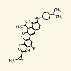 CC1CC1C(=O)Nc1c(F)cc(-c2cc3cnc(N[C@H]4CC[C@H](N(C)C)CC4)nc3n(C(C)C)c2=O)c(F)c1F